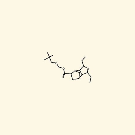 CCC1OC(CC)C2C3CC(CC3C(=O)OCOCC(C)(C)C)C12